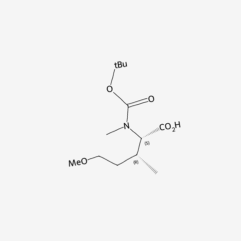 COCC[C@@H](C)[C@@H](C(=O)O)N(C)C(=O)OC(C)(C)C